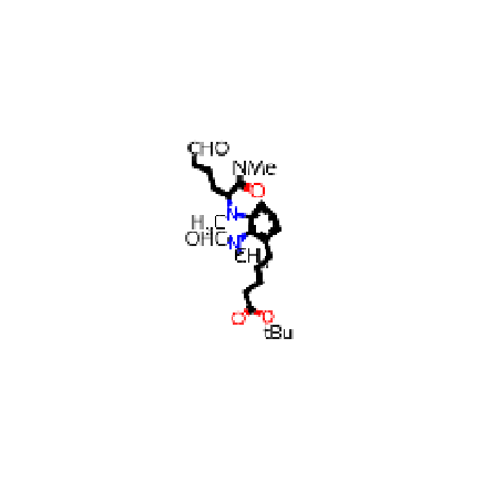 CNC(=O)C(CCCC=O)N(C)c1cccc(CCCCC(=O)OC(C)(C)C)c1N(C)C=O